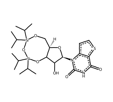 CC(C)[Si]1(C(C)C)OC[C@H]2O[C@@H](n3c(=O)[nH]c(=O)c4sccc43)C(O)C2O[Si](C(C)C)(C(C)C)O1